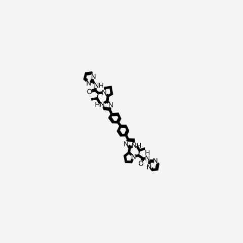 CC(C)[C@@H](C(=O)Nc1ncccn1)N1CCCC1c1nc(-c2ccc(-c3ccc(-c4c[nH]c(C5CCCN5[C@H](C(=O)Nc5ncccn5)C(C)C)n4)cc3)cc2)c[nH]1